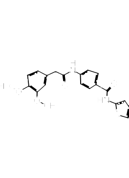 COc1ccc(CC(=O)Nc2ccc(C(=O)Nc3cccs3)cc2)cc1OC